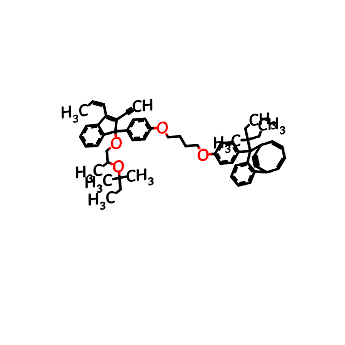 C#CC1=C(/C=C\C)c2ccccc2C1(OCC(C)OC(C)(C)CC)c1ccc(OCCCCOc2ccc(C3(C(C)(CC)CC)c4ccccc4C4C#CC3/C=C\C=C/4)cc2)cc1